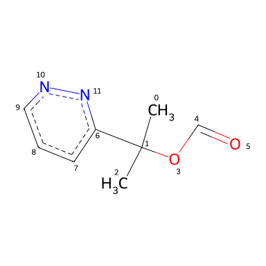 CC(C)(OC=O)c1cccnn1